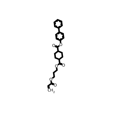 C=CC(=O)OCCCOC(=O)C1CCC(C(=O)Oc2ccc(-c3ccccc3)cc2)CC1